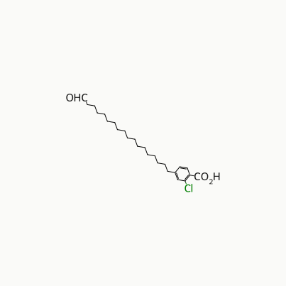 O=CCCCCCCCCCCCCCCCCCc1ccc(C(=O)O)c(Cl)c1